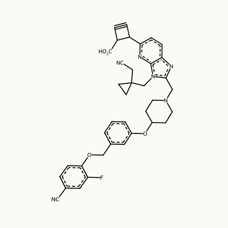 N#CCC1(Cn2c(CN3CCC(Oc4cccc(COc5ccc(C#N)cc5F)c4)CC3)nc3ccc(C4C#CC4C(=O)O)nc32)CC1